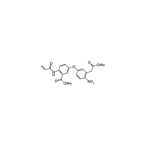 C=CC(=O)Nc1ccc(Oc2ccc([N+](=O)[O-])c(CC(=O)OC)c2)cc1C(=O)OC